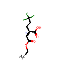 CCOC(=O)/C=C(/CCC(F)(F)F)C(=O)O